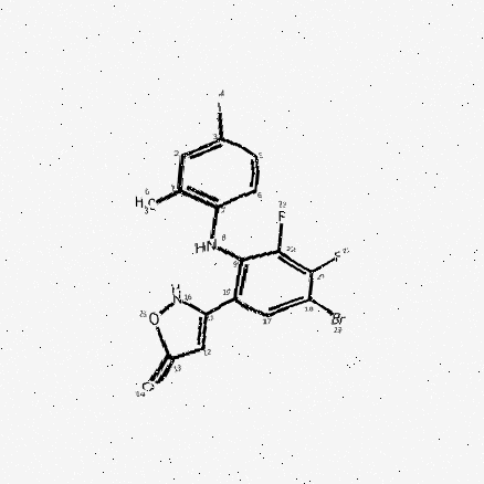 Cc1cc(I)ccc1Nc1c(-c2cc(=O)o[nH]2)cc(Br)c(F)c1F